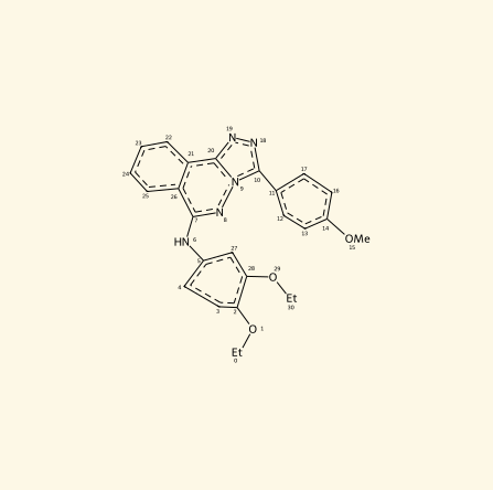 CCOc1ccc(Nc2nn3c(-c4ccc(OC)cc4)nnc3c3ccccc23)cc1OCC